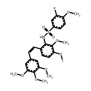 COc1ccc(S(=O)(=O)Nc2c(/C=C\c3cc(OC)c(OC)c(OC)c3)ccc(OI)c2OC)cc1F